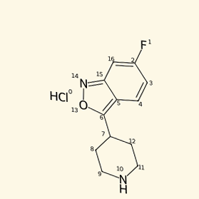 Cl.Fc1ccc2c(C3CCNCC3)onc2c1